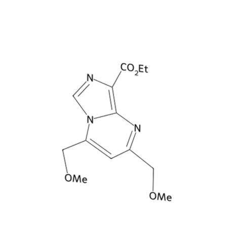 CCOC(=O)c1ncn2c(COC)cc(COC)nc12